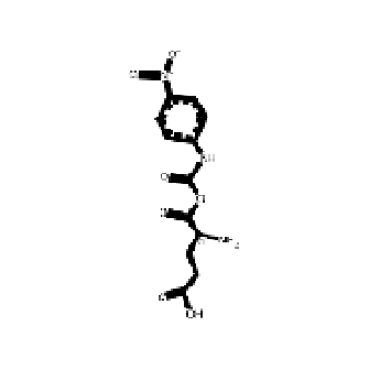 N[C@@H](CCC(=O)O)C(=O)OC(=O)Nc1ccc([N+](=O)[O-])cc1